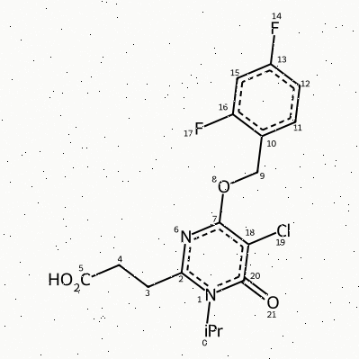 CC(C)n1c(CCC(=O)O)nc(OCc2ccc(F)cc2F)c(Cl)c1=O